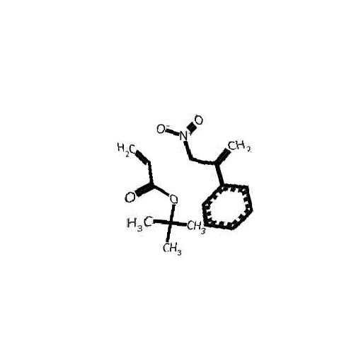 C=C(C[N+](=O)[O-])c1ccccc1.C=CC(=O)OC(C)(C)C